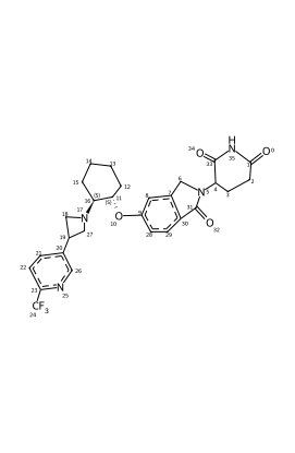 O=C1CCC(N2Cc3cc(O[C@H]4CCCC[C@@H]4N4CC(c5ccc(C(F)(F)F)nc5)C4)ccc3C2=O)C(=O)N1